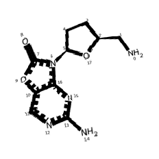 NC[C@@H]1CC[C@H](n2c(=O)oc3cnc(N)nc32)O1